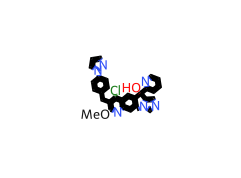 COc1nc2ccc(C(O)(c3ccccn3)c3cncn3C)cc2c(Cl)c1Cc1ccc(-n2cccn2)cc1